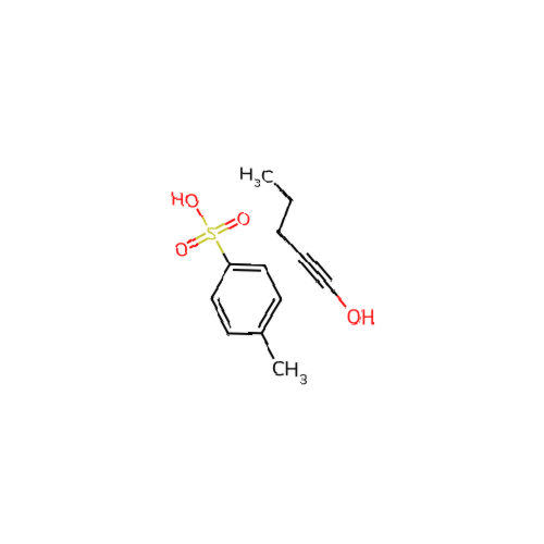 CCCC#CO.Cc1ccc(S(=O)(=O)O)cc1